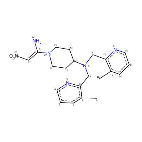 Cc1cccnc1CN(Cc1ncccc1C)C1CCN(/C(N)=C/[N+](=O)[O-])CC1